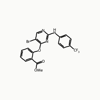 COC(=O)c1ccccc1Oc1nc(Nc2ccc(C(F)(F)F)cc2)ncc1Br